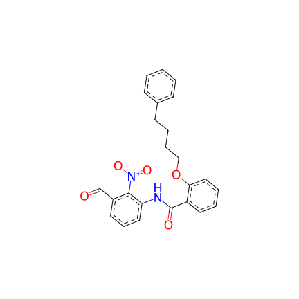 O=Cc1cccc(NC(=O)c2ccccc2OCCCCc2ccccc2)c1[N+](=O)[O-]